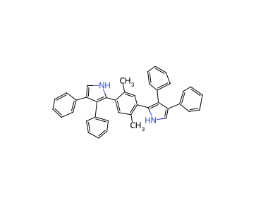 Cc1cc(-c2[nH]cc(-c3ccccc3)c2-c2ccccc2)c(C)cc1-c1[nH]cc(-c2ccccc2)c1-c1ccccc1